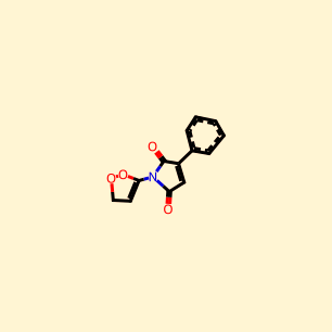 O=C1C=C(c2ccccc2)C(=O)N1C1=CCOO1